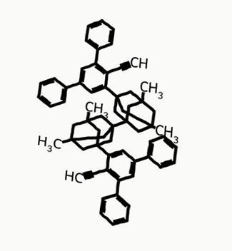 C#Cc1c(-c2ccccc2)cc(-c2ccccc2)cc1C12CC3(C)CC(C)(C1)CC(C14CC5(C)CC(C)(CC(c6cc(-c7ccccc7)cc(-c7ccccc7)c6C#C)(C5)C1)C4)(C3)C2